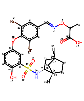 CC(ON=Cc1cc(Br)c(Oc2ccc(O)c(S(=O)(=O)N[C@@H]3C[C@@H]4CC[C@@H]3C4)c2)c(Br)c1)C(=O)O